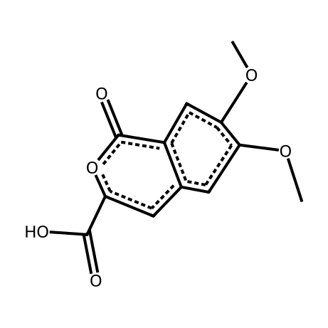 COc1cc2cc(C(=O)O)oc(=O)c2cc1OC